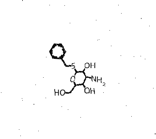 NC1C(O)C(CO)OC(SCc2ccccc2)C1O